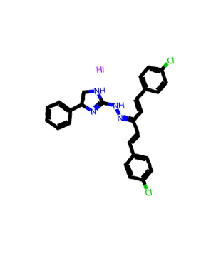 Clc1ccc(C=CC(C=Cc2ccc(Cl)cc2)=NNC2=NC(c3ccccc3)CN2)cc1.I